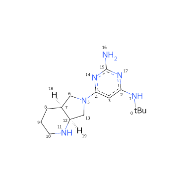 CC(C)(C)Nc1cc(N2C[C@@H]3CCCN[C@@H]3C2)nc(N)n1